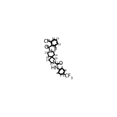 O=C(Nc1ccc(C(F)(F)F)cc1)N1CCC2(CCN(C(=O)c3c(F)cccc3Cl)CC2)C1